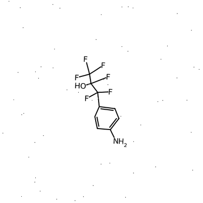 Nc1ccc(C(F)(F)C(O)(F)C(F)(F)F)cc1